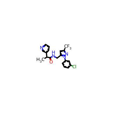 CC(C(=O)NCc1cc(C(F)(F)F)nn1-c1cccc(Cl)c1)c1cccnc1